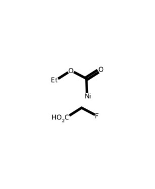 CCO[C](=O)[Ni].O=C(O)CF